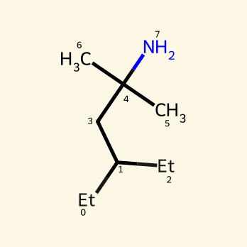 CCC(CC)CC(C)(C)N